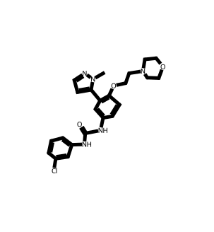 Cn1nccc1-c1cc(NC(=O)Nc2cccc(Cl)c2)ccc1OCCN1CCOCC1